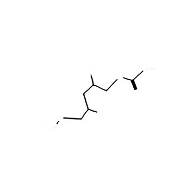 CCCCCCCCOCC(CC)CC(CC)COC(=O)CCCCCCC